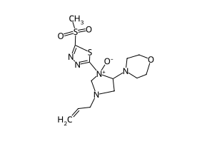 C=CCN1CC(N2CCOCC2)[N+]([O-])(c2nnc(S(C)(=O)=O)s2)C1